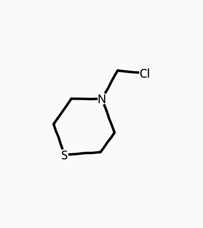 ClCN1CCSCC1